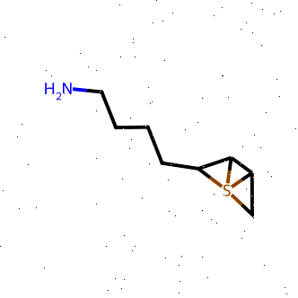 NCCCCC1C2C3CS132